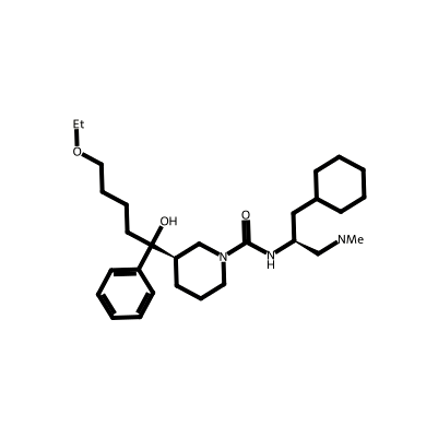 CCOCCCCC(O)(c1ccccc1)[C@@H]1CCCN(C(=O)N[C@H](CNC)CC2CCCCC2)C1